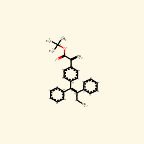 C=C(C(=O)OC(C)(C)C)c1ccc(C(=C(CC)c2ccccc2)c2ccccc2)cc1